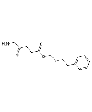 NCC(=O)CCC(=O)OCCCCc1ccccc1